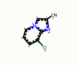 N#Cc1cn2cc[c]c(Cl)c2n1